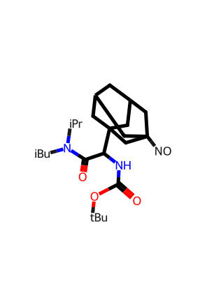 CCC(C)N(C(=O)C(NC(=O)OC(C)(C)C)C12CC3CC(CC(N=O)(C3)C1)C2)C(C)C